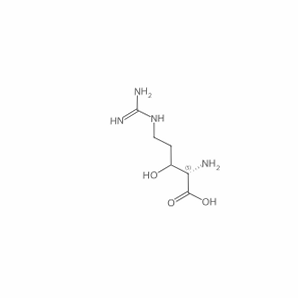 N=C(N)NCCC(O)[C@H](N)C(=O)O